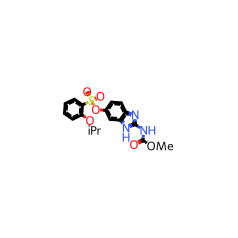 COC(=O)Nc1nc2ccc(OS(=O)(=O)c3ccccc3OC(C)C)cc2[nH]1